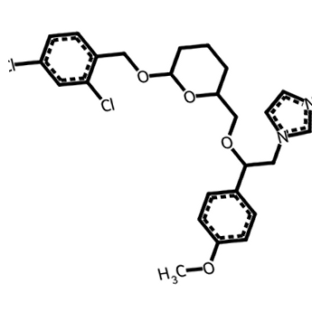 COc1ccc(C(Cn2ccnc2)OCC2CCCC(OCc3ccc(Cl)cc3Cl)O2)cc1